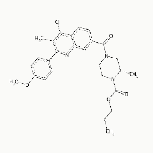 CCCOC(=O)N1CCN(C(=O)c2ccc3c(Cl)c(C)c(-c4ccc(OC)cc4)nc3c2)C[C@@H]1C